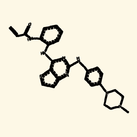 C=CC(=O)Nc1ccccc1Nc1nc(Nc2ccc(N3CCN(C)CC3)cc2)nc2ccsc12